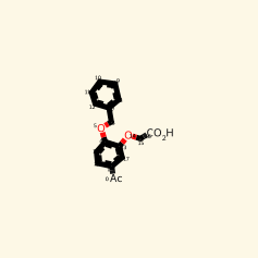 CC(=O)c1ccc(OCc2ccccc2)c(OCC(=O)O)c1